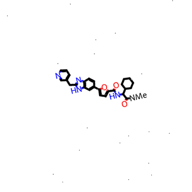 CNC(=O)C(NC(=O)c1ccc(-c2ccc3nc(Cc4cccnc4)[nH]c3c2)o1)C1CCCCC1